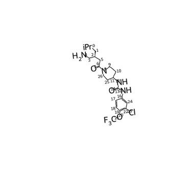 CC(C)C[C@H](CN)CC(=O)N1CCC(NC(=O)Nc2ccc(OC(F)(F)F)c(Cl)c2)CC1